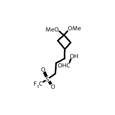 COC1(OC)CC(CCCS(=O)(=O)C(F)(F)F)C1.O=CO